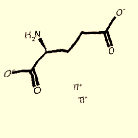 N[C@@H](CCC(=O)[O-])C(=O)[O-].[Tl+].[Tl+]